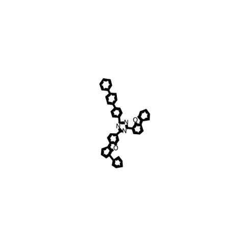 c1ccc(-c2ccc(-c3ccc(-c4nc(-c5ccc6c(c5)oc5c(-c7ccccc7)cccc56)nc(-c5cccc6c5oc5ccccc56)n4)cc3)cc2)cc1